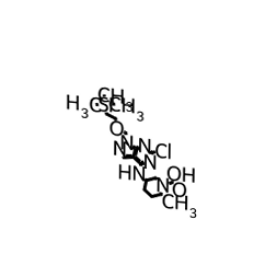 C[C@H]1CC[C@@H](Nc2nc(Cl)nc3c2cnn3COCC[Si](C)(C)C)CN1C(=O)O